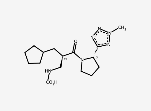 Cn1nnc([C@@H]2CCCN2C(=O)[C@@H](CNC(=O)O)CC2CCCC2)n1